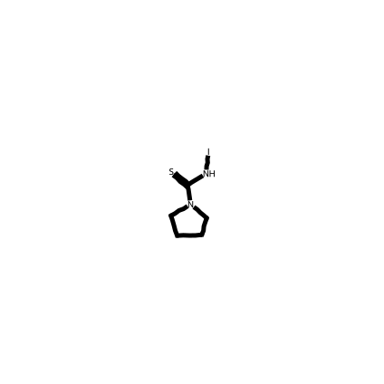 S=C(NI)N1CCCC1